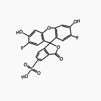 O=C1OC2(c3cc(F)c(O)cc3Oc3cc(O)c(F)cc32)c2ccc(S(=O)(=O)O)cc21